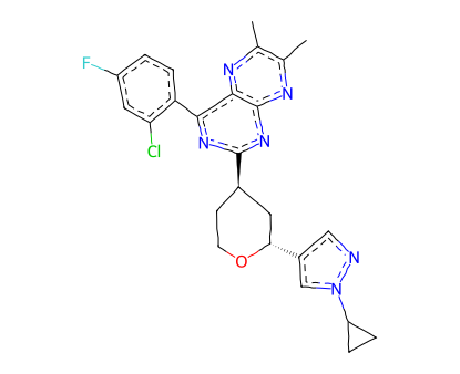 Cc1nc2nc([C@@H]3CCO[C@@H](c4cnn(C5CC5)c4)C3)nc(-c3ccc(F)cc3Cl)c2nc1C